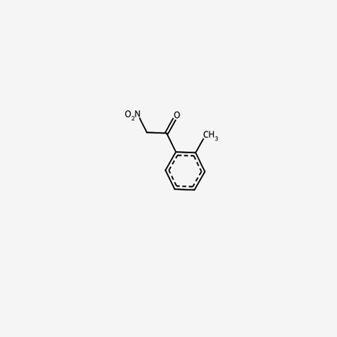 Cc1ccccc1C(=O)C[N+](=O)[O-]